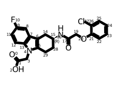 O=C(O)Cn1c2c(c3cc(F)ccc31)C[C@H](NC(=O)COc1ccccc1Cl)CC2